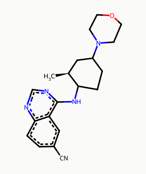 C[C@H]1CC(N2CCOCC2)CCC1Nc1ncnc2ccc(C#N)cc12